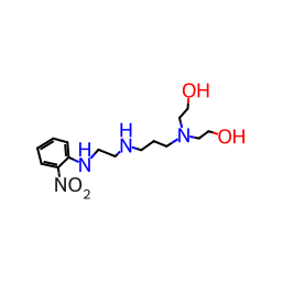 O=[N+]([O-])c1ccccc1NCCNCCCN(CCO)CCO